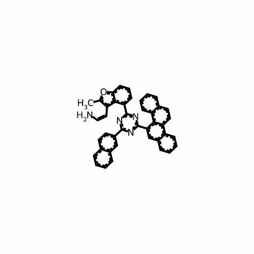 Cc1oc2cccc(-c3nc(-c4ccc5ccccc5c4)nc(-c4cc5ccccc5c5ccc6ccccc6c45)n3)c2c1/C=C\N